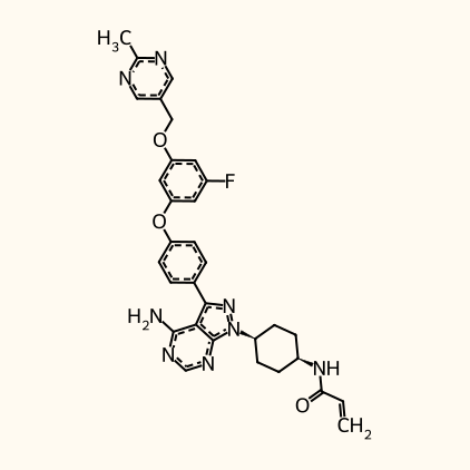 C=CC(=O)N[C@H]1CC[C@@H](n2nc(-c3ccc(Oc4cc(F)cc(OCc5cnc(C)nc5)c4)cc3)c3c(N)ncnc32)CC1